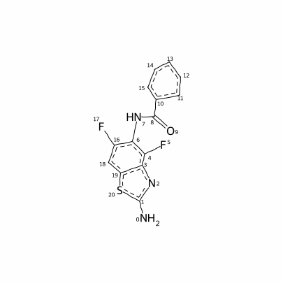 Nc1nc2c(F)c(NC(=O)c3ccccc3)c(F)cc2s1